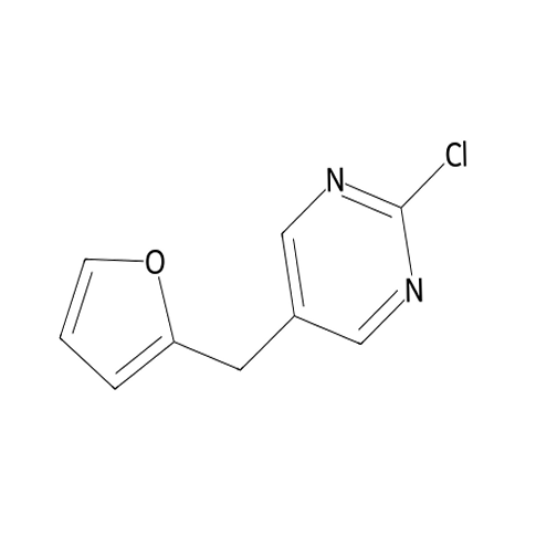 Clc1ncc(Cc2ccco2)cn1